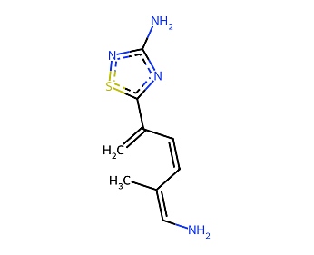 C=C(/C=C\C(C)=C/N)c1nc(N)ns1